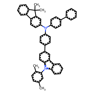 Cc1ccc(C)c(-n2c3ccccc3c3cc(-c4ccc(N(c5ccc(-c6ccccc6)cc5)c5ccc6c(c5)C(C)(C)c5ccccc5-6)cc4)ccc32)c1